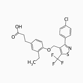 CCc1cc(CCC(=O)O)ccc1OCc1c(-c2ccc(Cl)cc2)nsc1C(F)(F)F